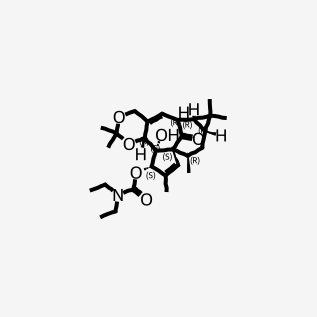 CCN(CC)C(=O)O[C@H]1C(C)=C[C@]23C(=O)[C@@H](C=C4COC(C)(C)O[C@H]4[C@]12O)[C@H]1[C@@H](C[C@H]3C)C1(C)C